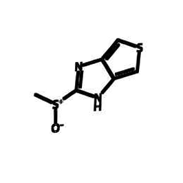 C[S+]([O-])c1nc2cscc2[nH]1